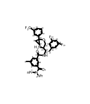 CCCN(CCC)C(=O)c1cc(C)cc(C(=O)N[C@@H](Cc2cc(F)cc(F)c2)C(N)COC2(c3cccc(C(F)(F)F)c3)CC2)c1